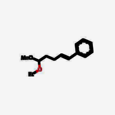 CCOC(CCC=Cc1ccccc1)OC